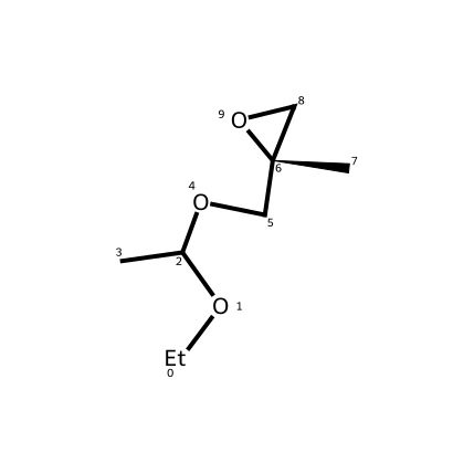 CCOC(C)OC[C@@]1(C)CO1